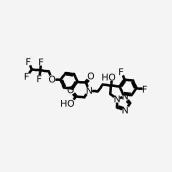 O=C(O)CN(CCC(O)(Cn1cncn1)c1ccc(F)cc1F)C(=O)c1ccc(OCC(F)(F)C(F)F)cc1